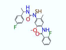 COc1cc(N(S)C(=O)NC(C)c2ccc(F)cc2)c(C)cc1NC(=O)c1ccccc1F